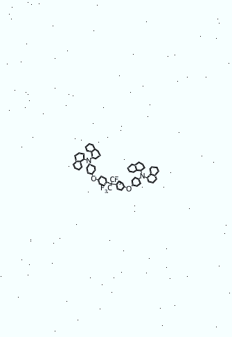 FC(F)(F)C(c1ccc(Oc2ccc(N(c3cccc4ccccc34)c3cccc4ccccc34)cc2)cc1)(c1ccc(Oc2ccc(N(c3cccc4ccccc34)c3cccc4ccccc34)cc2)cc1)C(F)(F)F